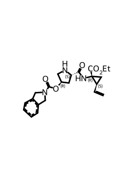 C=C[C@@H]1C[C@]1(NC(=O)[C@@H]1C[C@@H](OC(=O)N2Cc3ccccc3C2)CN1)C(=O)OCC